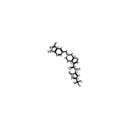 Cc1n[nH]c2ncc(CN3CCc4c(C(=O)Nc5cc(C(C)(C)C)nn5C)csc4C3)cc12